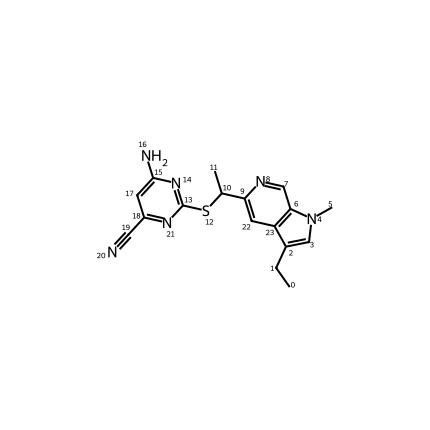 CCc1cn(C)c2cnc(C(C)Sc3nc(N)cc(C#N)n3)cc12